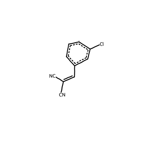 N#CC(C#N)=Cc1cc[c]c(Cl)c1